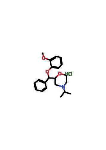 COc1ccccc1OC(c1ccccc1)C1CN(C(C)C)CCO1.Cl